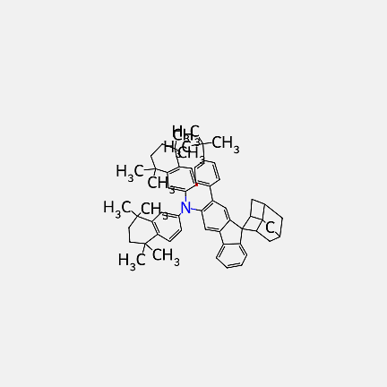 CC(C)(C)c1ccc(-c2cc3c(cc2N(c2ccc4c(c2)C(C)(C)CCC4(C)C)c2ccc4c(c2)C(C)(C)CCC4(C)C)-c2ccccc2C32C3CC4CC5CC2C53C4)cc1